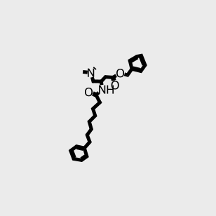 CN(C)CC(CC(=O)OCc1ccccc1)NC(=O)CCCCCCCc1ccccc1